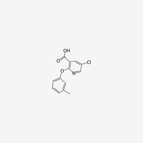 Cc1cccc(Oc2ncc(Cl)cc2C(=O)O)c1